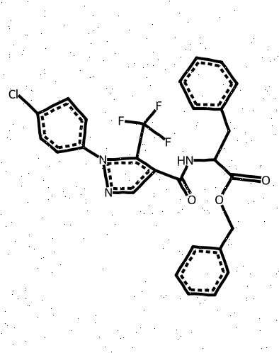 O=C(NC(Cc1ccccc1)C(=O)OCc1ccccc1)c1cnn(-c2ccc(Cl)cc2)c1C(F)(F)F